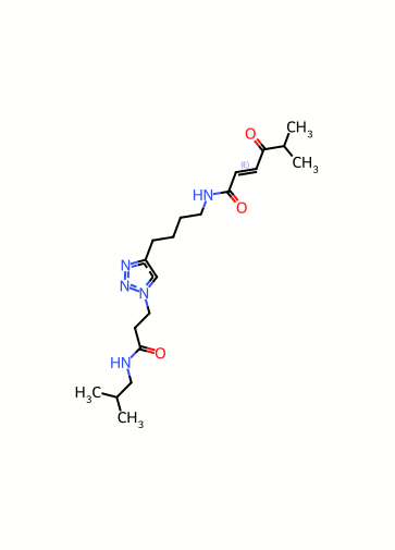 CC(C)CNC(=O)CCn1cc(CCCCNC(=O)/C=C/C(=O)C(C)C)nn1